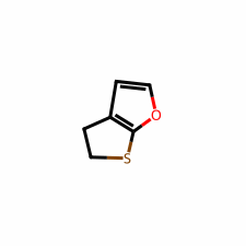 c1cc2c(o1)SCC2